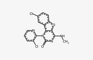 CNc1nc(=O)n(-c2ncccc2Cl)c2c1oc1ccc(Cl)cc12